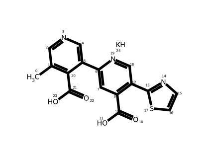 Cc1cncc(-c2cc(C(=O)O)c(-c3nccs3)cn2)c1C(=O)O.[KH]